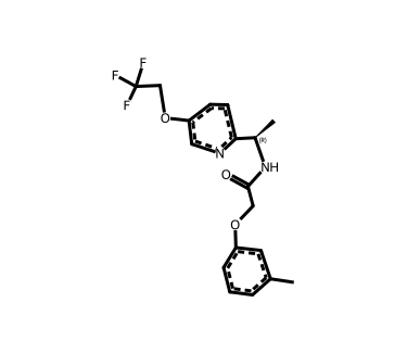 Cc1cccc(OCC(=O)N[C@H](C)c2ccc(OCC(F)(F)F)cn2)c1